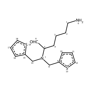 NCCCC[C](C=O)N(Cc1cccs1)Cc1cccs1